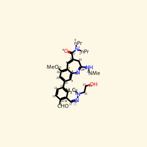 CCCN(CCC)C(=O)C1=Cc2c(cc(-c3ccc(C=O)c(/C=N\N(C)CCO)c3)cc2OC)N=C(NNC)C1